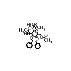 COP(=O)(O)C[C@H]1OC(COC(C)=O)[C@@H](OCc2ccccc2)[C@H](OCc2ccccc2)C1NC(C)=O